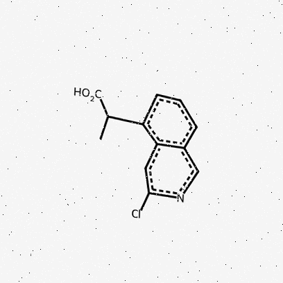 CC(C(=O)O)c1cccc2cnc(Cl)cc12